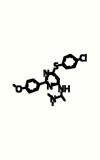 COc1ccc(-c2nc(NC(C)N(C)C)cc(Sc3ccc(Cl)cc3)n2)cc1